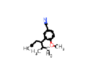 C#CCC(c1cc(C#N)ccc1OC)C(C)C